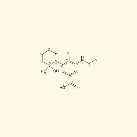 CCNc1cc(C(=O)O)cc(N2CCCCS2(O)O)c1C